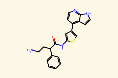 NCCC(C(=O)Nc1cc(-c2ccnc3[nH]ccc23)cs1)c1ccccc1